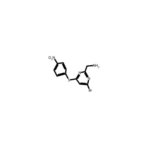 NCc1nc(Br)cc(Sc2ccc([N+](=O)[O-])cc2)n1